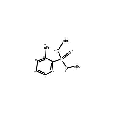 CCCCOP(=O)(OCCCC)c1ccccc1CCC